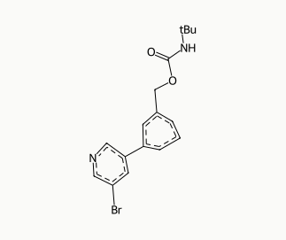 CC(C)(C)NC(=O)OCc1cccc(-c2cncc(Br)c2)c1